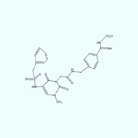 Cn1cc(NS(=O)(=O)Cc2ccccc2)c(=O)n(CC(=O)NCc2ccc(C(=N)NC(=O)O)cc2)c1=O